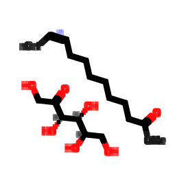 CCCCCCCC/C=C\CCCCCCCC(=O)OC.O=C(CO)[C@@H](O)[C@H](O)[C@H](O)CO